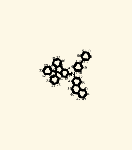 c1ccc(-c2ccc(N(c3ccc4c(c3)-c3ccccc3C4(c3ccccc3)c3ccccc3)c3ccc4c(ccc5ccccc54)c3)cc2)cc1